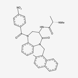 CN[C@@H](C)C(=O)NC1CN(C(=O)c2ccc([N+](=O)[O-])cc2)c2ccccc2N(Cc2c(C)ccc3ccccc23)C1=O